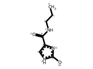 CCCNC(=O)c1c[nH]c([O])n1